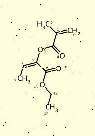 C=C(C)C(=O)OC(=CC)C(=O)OCC